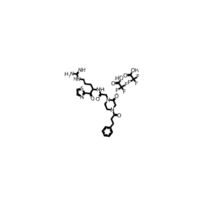 N=C(N)NCCCC(NC(=O)CN1CCN(C(=O)CCc2ccccc2)CC1=O)C(=O)c1nccs1.O=C(O)C(F)(F)F.O=C(O)C(F)(F)F